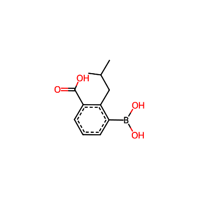 CC(C)Cc1c(B(O)O)cccc1C(=O)O